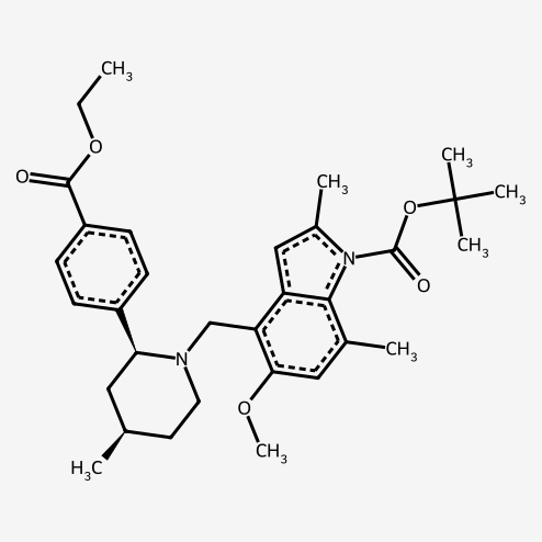 CCOC(=O)c1ccc([C@@H]2C[C@H](C)CCN2Cc2c(OC)cc(C)c3c2cc(C)n3C(=O)OC(C)(C)C)cc1